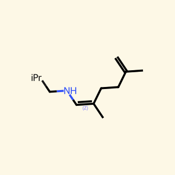 C=C(C)CC/C(C)=C\NCC(C)C